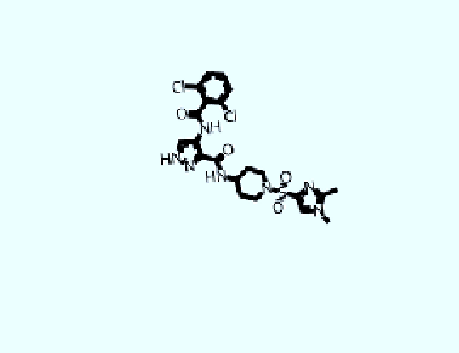 Cc1nc(S(=O)(=O)N2CCC(NC(=O)c3n[nH]cc3NC(=O)c3c(Cl)cccc3Cl)CC2)cn1C